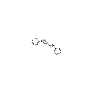 C1=CCCC(N/C=C/C=N/c2ccccc2)=C1